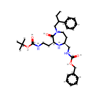 CCC(CN1CC[C@@H](CNC(=O)OCc2ccccc2)N[C@@H](CCNC(=O)OC(C)(C)C)C1=O)c1ccccc1